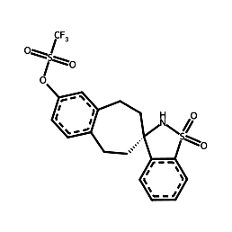 O=S1(=O)N[C@@]2(CCc3ccc(OS(=O)(=O)C(F)(F)F)cc3CC2)c2ccccc21